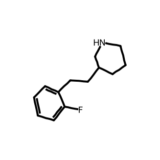 Fc1ccccc1CCC1CCCNC1